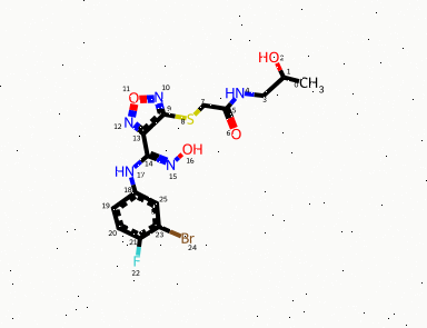 CC(O)CNC(=O)CSc1nonc1C(=NO)Nc1ccc(F)c(Br)c1